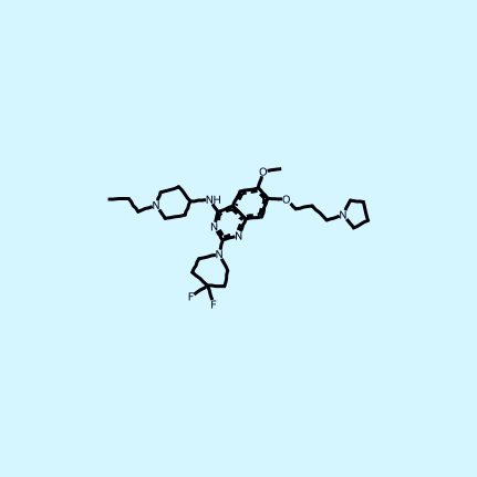 CCCN1CCC(Nc2nc(N3CCC(F)(F)CC3)nc3cc(OCCCN4CCCC4)c(OC)cc23)CC1